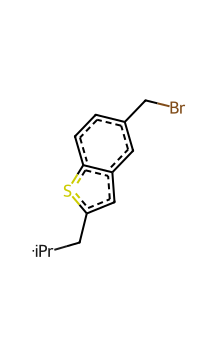 C[C](C)Cc1cc2cc(CBr)ccc2s1